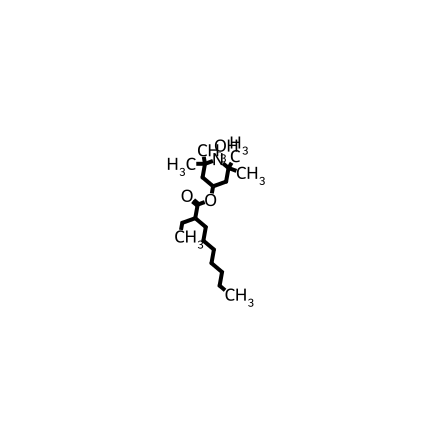 CCCCCCCC(CC)C(=O)OC1CC(C)(C)N(O)C(C)(C)C1